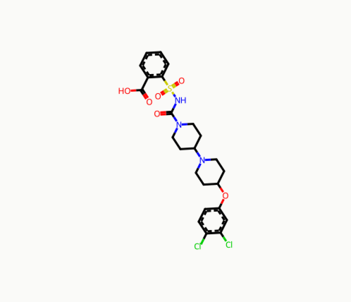 O=C(O)c1ccccc1S(=O)(=O)NC(=O)N1CCC(N2CCC(Oc3ccc(Cl)c(Cl)c3)CC2)CC1